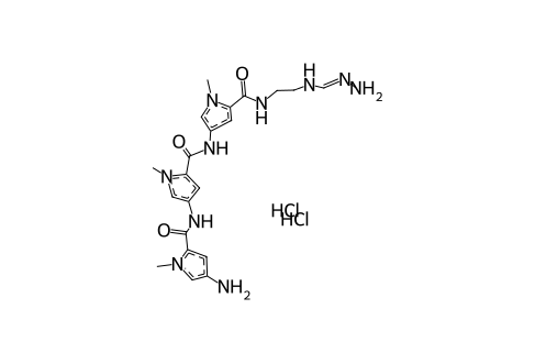 Cl.Cl.Cn1cc(NC(=O)c2cc(NC(=O)c3cc(N)cn3C)cn2C)cc1C(=O)NCCNC=NN